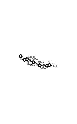 COc1cc(N=Nc2cc(OC)c(N=Nc3c(S(=O)(=O)O)cc4cc(Nc5ccccc5)ccc4c3O)cc2OC)c(OC)cc1N=Nc1ccc2cc(S(=O)(=O)O)cc(S(=O)(=O)O)c2c1